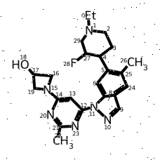 CCN1CCC(c2cc3c(cnn3-c3cc(N4CC(O)C4)nc(C)n3)cc2C)C(F)C1